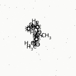 CCCn1c(NC(=O)c2ccc(F)c(NS(=O)(=O)c3ccccc3)c2)nc2cc(N(C)C(C)=O)ccc21